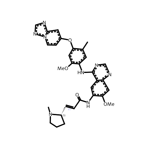 COc1cc2ncnc(Nc3cc(C)c(Oc4ccn5ncnc5c4)cc3OC)c2cc1NC(=O)/C=C/[C@@H]1CCCN1C